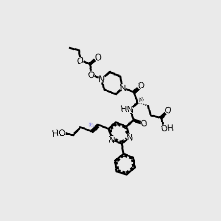 CCOC(=O)ON1CCN(C(=O)[C@H](CCC(=O)O)NC(=O)c2cc(/C=C/CCO)nc(-c3ccccc3)n2)CC1